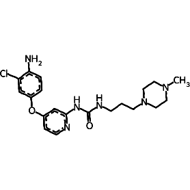 CN1CCN(CCCNC(=O)Nc2cc(Oc3ccc(N)c(Cl)c3)ccn2)CC1